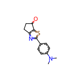 CN(C)c1ccc(-c2nc3c(s2)C(=O)CC3)cc1